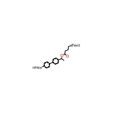 CCCCCCc1ccc(-c2ccc(C(C)OC(=O)CCCC(C)CCC)cc2)cc1